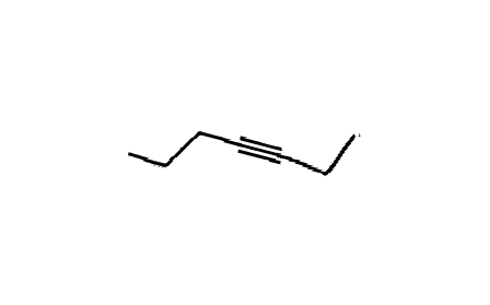 [CH2]CC#CCCC